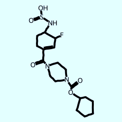 O=C(OC1CCCCC1)N1CCN(C(=O)C2=CC(F)C(NS(=O)O)CC2)CC1